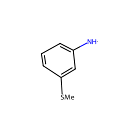 CSc1cccc([NH])c1